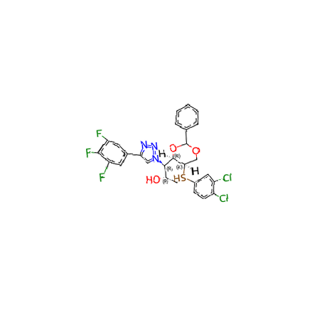 O[C@H]1C[SH](c2ccc(Cl)c(Cl)c2)[C@@H]2COC(c3ccccc3)O[C@@H]2[C@@H]1n1cc(-c2cc(F)c(F)c(F)c2)nn1